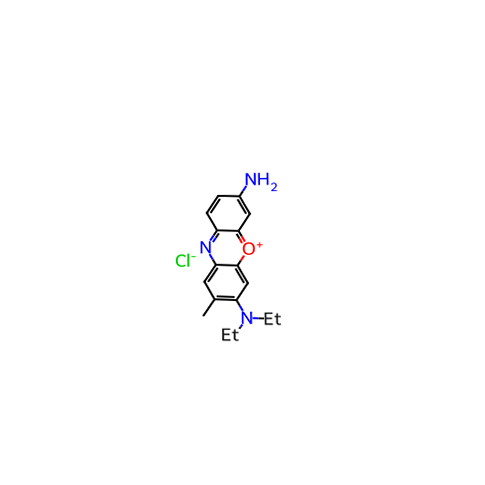 CCN(CC)c1cc2[o+]c3cc(N)ccc3nc2cc1C.[Cl-]